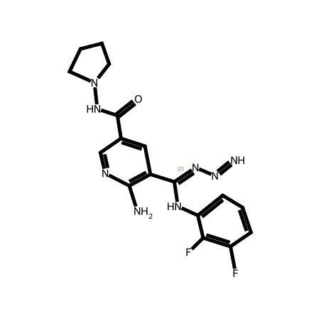 N=N/N=C(\Nc1cccc(F)c1F)c1cc(C(=O)NN2CCCC2)cnc1N